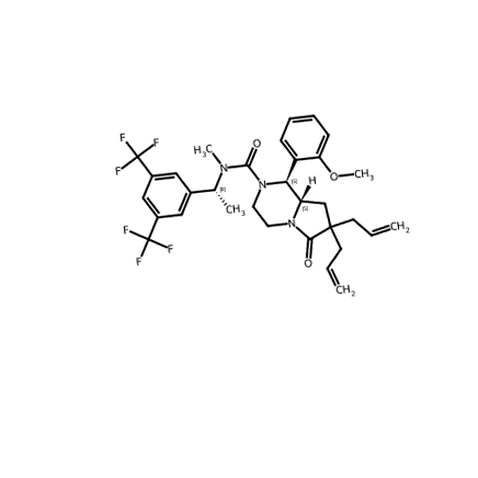 C=CCC1(CC=C)C[C@H]2[C@H](c3ccccc3OC)N(C(=O)N(C)[C@H](C)c3cc(C(F)(F)F)cc(C(F)(F)F)c3)CCN2C1=O